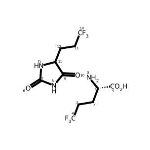 N[C@@H](CCC(F)(F)F)C(=O)O.O=C1NC(=O)C(CCC(F)(F)F)N1